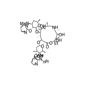 CCCN(C[C@]1(O)[C@H](C)O[C@@H](O[C@H]2[C@H](C)[C@@H](O[C@@H]3O[C@H](C)C[C@H](NC)[C@H]3Oc3ncccn3)[C@](C)(O)C[C@@H](C)CN[C@H](C)[C@@H](O)[C@](C)(O)[C@@H](CC)OC(=O)[C@@H]2C)C[C@@]1(C)OC)c1ncccn1